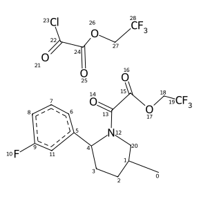 CC1CCC(c2cccc(F)c2)N(C(=O)C(=O)OCC(F)(F)F)C1.O=C(Cl)C(=O)OCC(F)(F)F